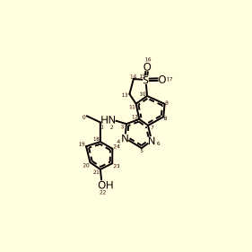 CC(Nc1ncnc2ccc3c(c12)CCS3(=O)=O)c1ccc(O)cc1